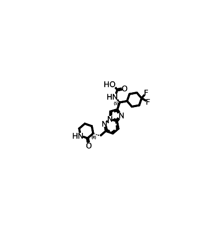 O=C(O)N[C@H](c1cn2nc(C[C@H]3CCCNC3=O)ccc2n1)C1CCC(F)(F)CC1